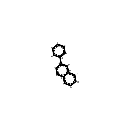 [c]1cccc(-c2ccc3ccccc3c2)c1